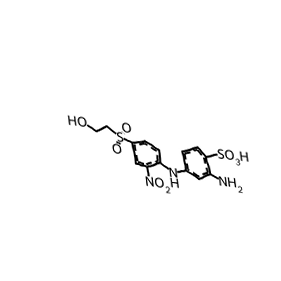 Nc1cc(Nc2ccc(S(=O)(=O)CCO)cc2[N+](=O)[O-])ccc1S(=O)(=O)O